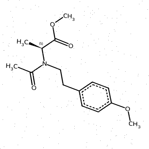 COC(=O)[C@H](C)N(CCc1ccc(OC)cc1)C(C)=O